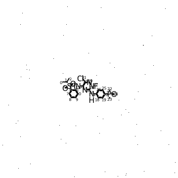 CC(C)S(=O)(=O)c1ccccc1Nc1nc(Nc2ccc(P(C)(C)=O)cc2F)nnc1Cl